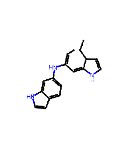 C/C=C(\C=C1\NC=CC1CC)Nc1ccc2cc[nH]c2c1